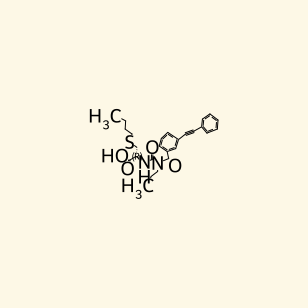 CCCCSC[C@H](NC(=O)N(CCC)C(=O)c1cccc(C#Cc2ccccc2)c1)C(=O)O